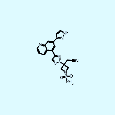 N#CCC1(n2ncc(-c3cc(-c4cc[nH]n4)cc4ncccc34)n2)CN(S(N)(=O)=O)C1